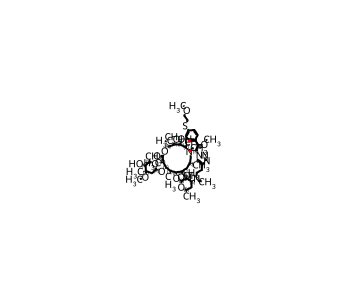 CC[C@H]1OC(=O)[C@H](C)[C@@H](O[C@H]2C[C@@](C)(OC)[C@@H](O)[C@H](C)O2)[C@H](C)[C@@H](O[C@@H]2O[C@H](C)C[C@H](N(C)CCc3cn([C@H](CF)[C@H](OC)c4ccc(SCCOC)cc4)nn3)[C@H]2O)[C@](C)(O)C[C@@H](C)CN(C)[C@H](C)[C@@H](O)[C@]1(C)O